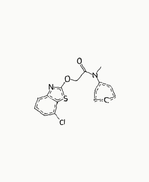 CN(C(=O)COc1nc2cccc(Cl)c2s1)c1ccccc1